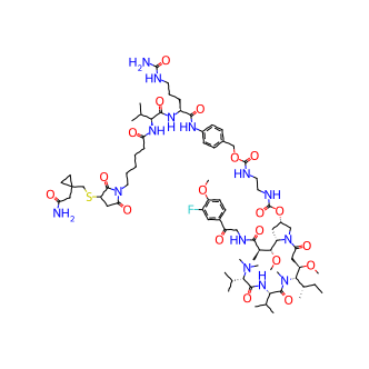 CC[C@H](C)[C@@H]([C@@H](CC(=O)N1C[C@@H](OC(=O)NCCNC(=O)OCc2ccc(NC(=O)[C@H](CCCNC(N)=O)NC(=O)[C@@H](NC(=O)CCCCCN3C(=O)CC(SCC4(CC(N)=O)CC4)C3=O)C(C)C)cc2)C[C@H]1[C@H](OC)[C@@H](C)C(=O)NCC(=O)c1ccc(OC)c(F)c1)OC)N(C)C(=O)[C@@H](NC(=O)[C@H](C(C)C)N(C)C)C(C)C